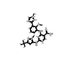 COc1c(Nc2nc(Nc3cc(C(C)(C)C)nn3C)ncc2C(=O)O)cccc1-c1ncn(C)n1